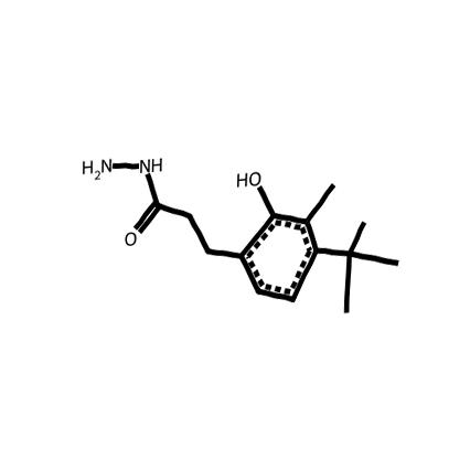 Cc1c(C(C)(C)C)ccc(CCC(=O)NN)c1O